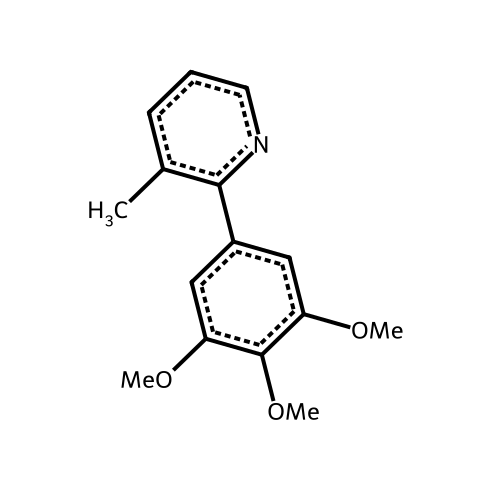 COc1cc(-c2ncccc2C)cc(OC)c1OC